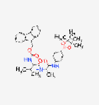 CC(C)C(NC(=O)OCC1c2ccccc2-c2ccccc21)C(=O)N[C@@H](C)C(=O)Nc1ccc(B2OC(C)(C)C(C)(C)O2)cc1